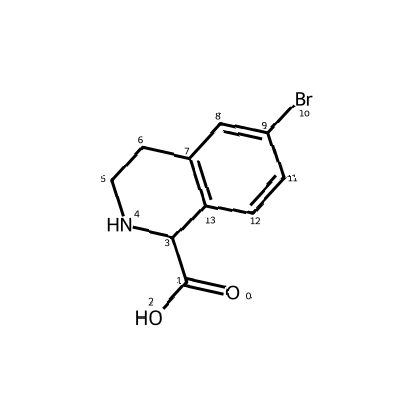 O=C(O)C1NCCc2cc(Br)ccc21